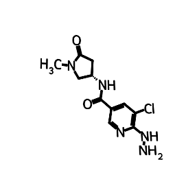 CN1C[C@@H](NC(=O)c2cnc(NN)c(Cl)c2)CC1=O